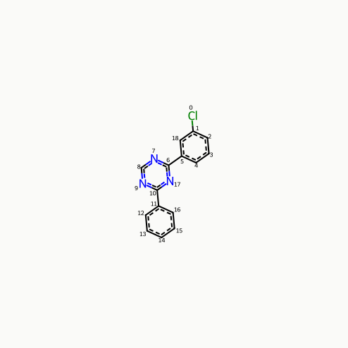 Clc1cccc(-c2ncnc(-c3ccccc3)n2)c1